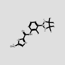 Cc1c(NC(=O)c2ncc(C=O)s2)cccc1B1OC(C)(C)C(C)(C)O1